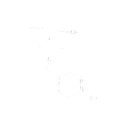 CCOC(=O)C1(CN)CN(Cc2ccc(C(C)(C)C)cc2)C1